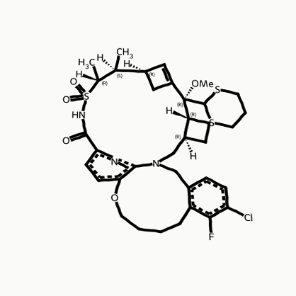 CO[C@@]1(C2SCCCS2)C2=C[C@@H](C2)[C@H](C)[C@@H](C)S(=O)(=O)NC(=O)c2ccc3c(n2)N(Cc2ccc(Cl)c(F)c2CCCCO3)C[C@@H]2CC[C@H]21